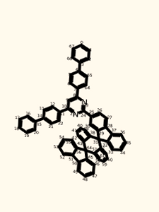 c1ccc(-c2ccc(-c3cc(-c4ccc(-c5ccccc5)cc4)nc(-c4ccc5c(c4)C4(c6ccccc6-5)c5ccccc5C5(c6ccccc6-c6ccccc65)c5ccccc54)n3)cc2)cc1